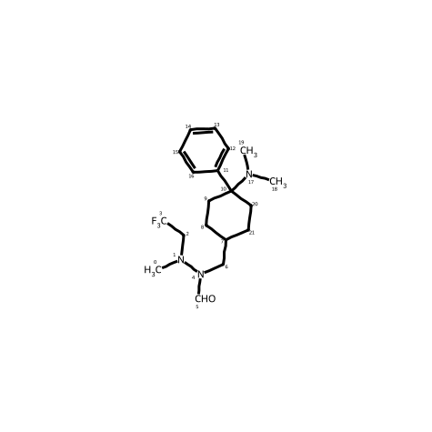 CN(CC(F)(F)F)N(C=O)CC1CCC(c2ccccc2)(N(C)C)CC1